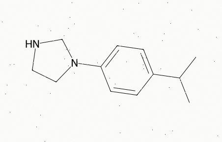 CC(C)c1ccc(N2CCNC2)cc1